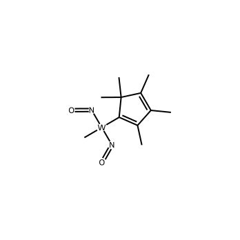 CC1=C(C)C(C)(C)[C]([W]([CH3])([N]=O)[N]=O)=C1C